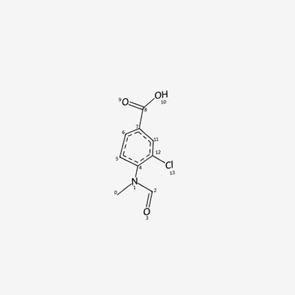 CN(C=O)c1ccc(C(=O)O)cc1Cl